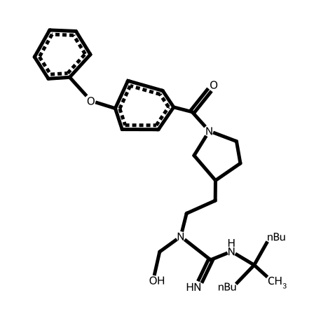 CCCCC(C)(CCCC)NC(=N)N(CO)CCC1CCN(C(=O)c2ccc(Oc3ccccc3)cc2)C1